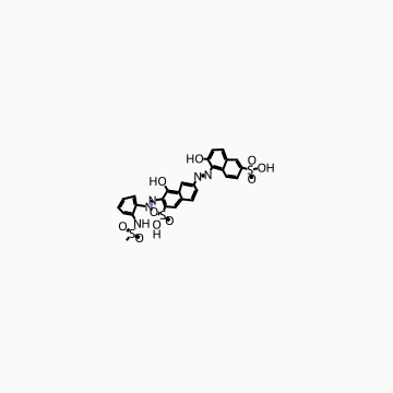 CS(=O)(=O)Nc1ccccc1/N=N/c1c(S(=O)(=O)O)cc2ccc(N=Nc3c(O)ccc4cc(S(=O)(=O)O)ccc34)cc2c1O